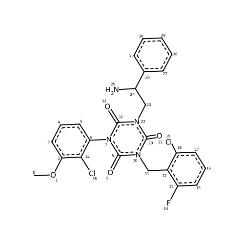 COc1cccc(-n2c(=O)n(Cc3c(F)cccc3Cl)c(=O)n(CC(N)c3ccccc3)c2=O)c1Cl